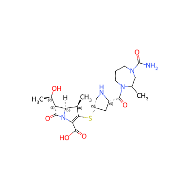 CC1CN(C(N)=O)CCCN1C(=O)[C@@H]1C[C@H](SC2=C(C(=O)O)N3C(=O)[C@H]([C@@H](C)O)[C@H]3[C@H]2C)CN1